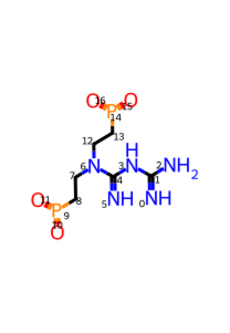 N=C(N)NC(=N)N(CCP(=O)=O)CCP(=O)=O